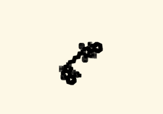 COc1cccc2c1[C@@H]1CN(CCCCCn3c(=O)[nH]c4c(sc5ccccc54)c3=O)C[C@@H]1CO2